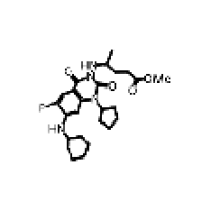 COC(=O)CCC(C)Nn1c(=O)c2cc(F)c(NC3CCCCC3)cc2n(C2CCCC2)c1=O